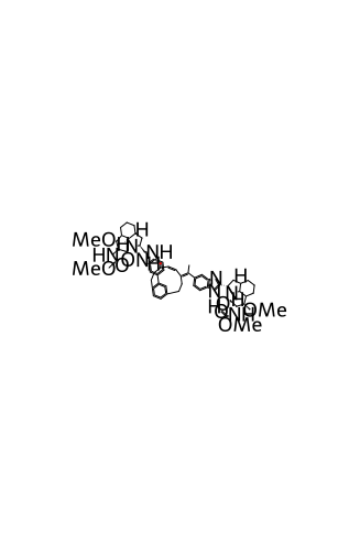 COC(=O)N[C@@H]1C(=O)N2[C@H](c3nc4cc(/C(C)=C5/C=C\[C@H](C)CCc6ccc(cc6-c6ccc7[nH]c([C@@H]8C[C@@H]9CCCC%10[C@@H](OC)[C@H](NC(=O)OC)C(=O)N8[C@@H]%109)nc7c6)CC5)ccc4[nH]3)C[C@@H]3CCCC([C@H]1OC)[C@@H]32